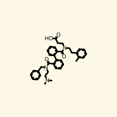 Cc1ccccc1CCN(CCC(=O)O)C(=O)c1ccccc1-c1ccccc1C(=O)N(CCN(C)C)Cc1ccccc1